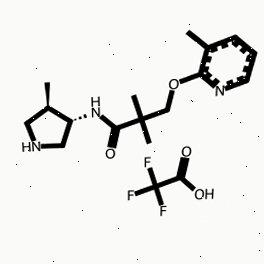 Cc1cccnc1OCC(C)(C)C(=O)N[C@@H]1CNC[C@H]1C.O=C(O)C(F)(F)F